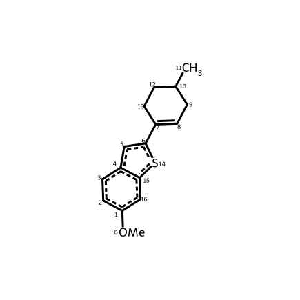 COc1ccc2cc(C3=CCC(C)CC3)sc2c1